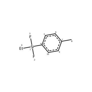 CC[Si](F)(F)c1ccc(C)cc1